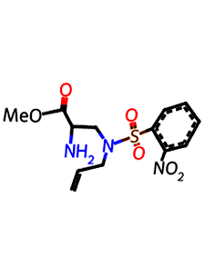 C=CCN(CC(N)C(=O)OC)S(=O)(=O)c1ccccc1[N+](=O)[O-]